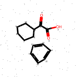 O=C(O)C(=O)C1CCCCC1.c1ccccc1